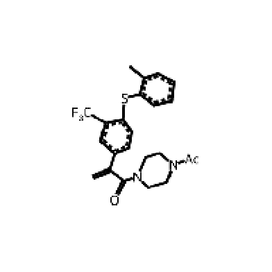 C=C(C(=O)N1CCN(C(C)=O)CC1)c1ccc(Sc2ccccc2C)c(C(F)(F)F)c1